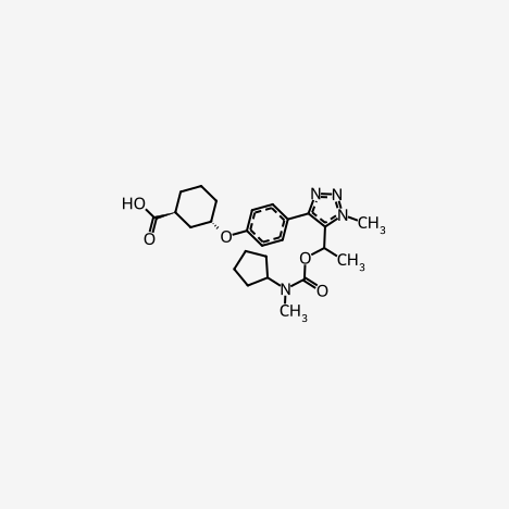 CC(OC(=O)N(C)C1CCCC1)c1c(-c2ccc(O[C@H]3CCC[C@H](C(=O)O)C3)cc2)nnn1C